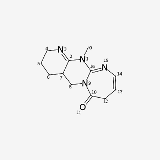 CN1C2=NCCCC2CN2C(=O)CC=CN=C12